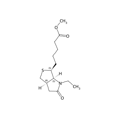 CCN1C(=O)C[C@H]2CS[C@@H](CCCCC(=O)OC)[C@H]21